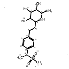 CCC1C(C#N)C(N)NC(SCc2ccc(N(C)S(C)(=O)=O)cc2)C1C#N